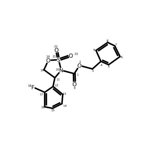 O=C(OCc1ccccc1)N1C(c2ccccc2F)COS1(=O)=O